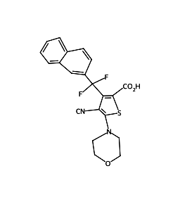 [C-]#[N+]c1c(N2CCOCC2)sc(C(=O)O)c1C(F)(F)c1ccc2ccccc2c1